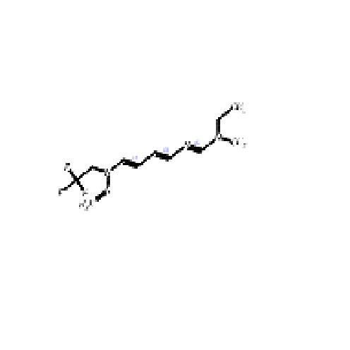 C=NN(/C=C/C=C/N=C/N(C)CC)CC(F)(F)F